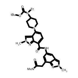 CCN(C(=O)OC(C)(C)C)C1CCN(c2ccc(C(=O)Nc3cc(CC(=O)NC)c4nn(C)cc4c3)c3nn(C)cc23)CC1